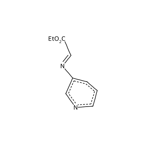 CCOC(=O)C=Nc1cccnc1